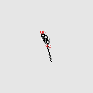 CCCCCCCCC=CC(=O)O[C@H]1CC[C@H]2[C@@H]3CCc4cc(O)ccc4[C@H]3CC[C@]12C